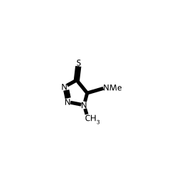 CNC1C(=S)N=NN1C